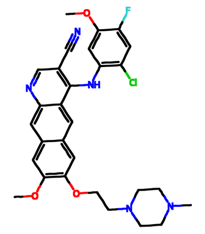 COc1cc(Nc2c(C#N)cnc3cc4cc(OC)c(OCCN5CCN(C)CC5)cc4cc23)c(Cl)cc1F